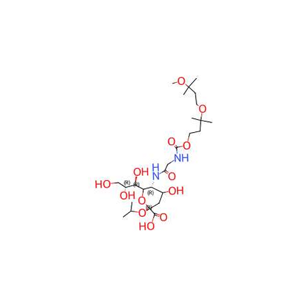 COC(C)(C)CCOC(C)(C)CCOC(=O)NCC(=O)N[C@@H]1C(O)C[C@](OC(C)C)(C(=O)O)OC1[C@H](O)[C@H](O)CO